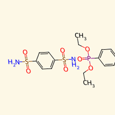 CCOP(=O)(OCC)c1ccccc1.NS(=O)(=O)c1ccc(S(N)(=O)=O)cc1